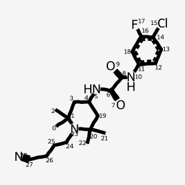 CC1(C)CC(NC(=O)C(=O)Nc2ccc(Cl)c(F)c2)CC(C)(C)N1CCCC#N